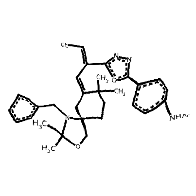 CC/C=C(\C=C1\C[C@@]2(CCC1(C)C)COC(C)(C)N2Cc1ccccc1)c1nnc(-c2ccc(NC(C)=O)cc2)o1